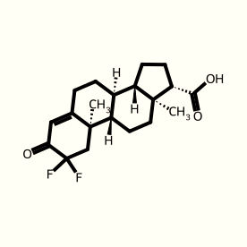 C[C@]12CC[C@H]3[C@@H](CCC4=CC(=O)C(F)(F)C[C@@]43C)[C@@H]1CC[C@@H]2C(=O)O